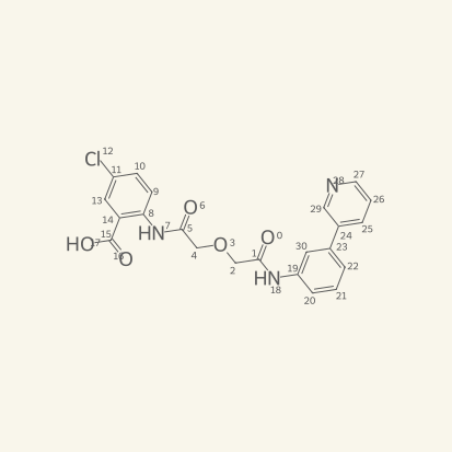 O=C(COCC(=O)Nc1ccc(Cl)cc1C(=O)O)Nc1cccc(-c2cccnc2)c1